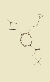 CCOC(=O)C(CC)(CC)NC(=O)c1ccc(N2CC(F)C2)c(OCC2CC2)n1